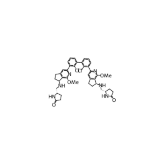 COc1nc(-c2cccc(-c3cccc(-c4cc5c(c(OC)n4)[C@@H](NC[C@@H]4CCC(=O)N4)CC5)c3Cl)c2Cl)cc2c1[C@@H](NC[C@@H]1CCC(=O)N1)CC2